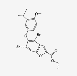 CCOC(=O)c1cc2c(Br)c(Oc3ccc(OC)c(C(C)C)c3)c(Br)cc2o1